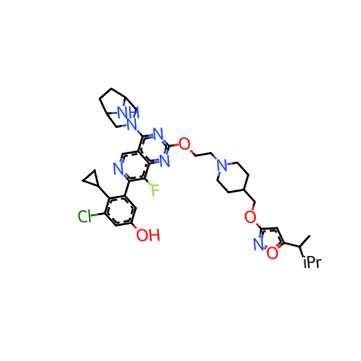 CC(C)C(C)c1cc(OCC2CCN(CCOc3nc(N4CC5CCC(C4)N5)c4cnc(-c5cc(O)cc(Cl)c5C5CC5)c(F)c4n3)CC2)no1